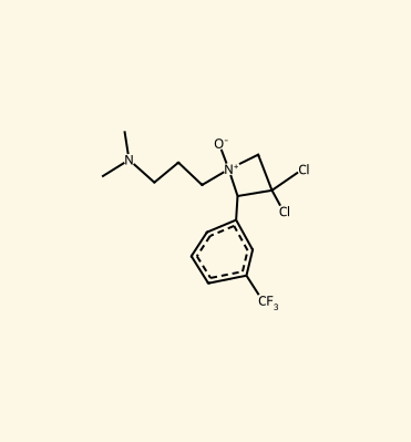 CN(C)CCC[N+]1([O-])CC(Cl)(Cl)C1c1cccc(C(F)(F)F)c1